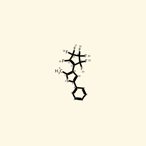 Cc1sc(-c2ccccc2)cc1C1=C(F)C(F)(F)C(F)(F)C1(F)F